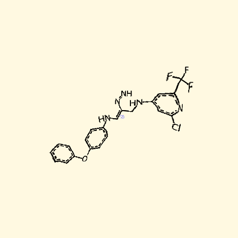 N=N/C(=C\Nc1ccc(Oc2ccccc2)cc1)CNc1cc(Cl)nc(C(F)(F)F)c1